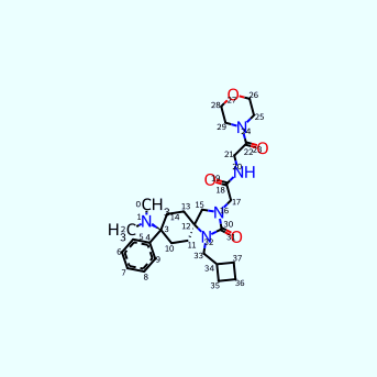 CN(C)[C@]1(c2ccccc2)CC[C@]2(CC1)CN(CC(=O)NCC(=O)N1CCOCC1)C(=O)N2CC1CCC1